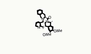 COc1cc2c(cc1OC)[C@@H](C)N(C(=O)[C@@H]1Cc3ccccc3CN1Cc1cccnc1F)CC2